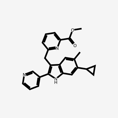 COC(=O)c1cccc(Cc2c(-c3cccnc3)[nH]c3cc(C4CC4)c(C)cc23)n1